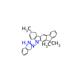 CC1C=Cc2c(c3cc4c(cc3n2CN(N)Cc2ccccc2)C(C)(C)c2ccccc2-4)C1